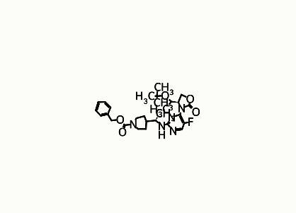 CC(OC(C)(C)C)[C@H]1COC(=O)N1c1nc(N[C@@H](C)C2CCN(C(=O)OCc3ccccc3)CC2)ncc1F